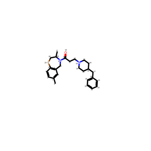 Cc1ccc2c(c1)CN(C(=O)CCN1CCC(Cc3ccccc3)CC1)C(C)CS2